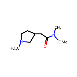 CON(C)C(=O)CC1CCN(C(=O)O)C1